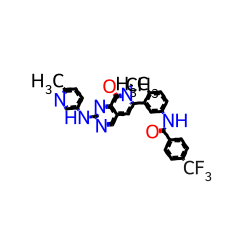 Cc1ccc(Nc2ncc3cc(-c4cc(NC(=O)c5ccc(C(F)(F)F)cc5)ccc4C)n(C)c(=O)c3n2)cn1